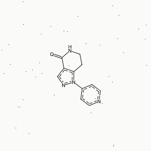 O=C1NCCc2c1cnn2-c1ccncc1